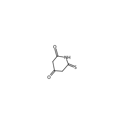 O=C1CC(=O)NC(=S)C1